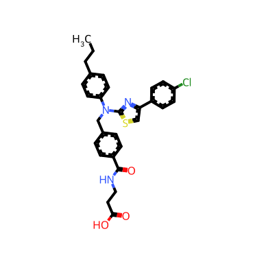 CCCc1ccc(N(Cc2ccc(C(=O)NCCC(=O)O)cc2)c2nc(-c3ccc(Cl)cc3)cs2)cc1